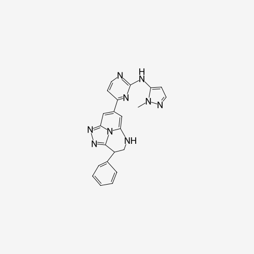 Cn1nccc1Nc1nccc(-c2cc3n4c(nnc4c2)C(c2ccccc2)CN3)n1